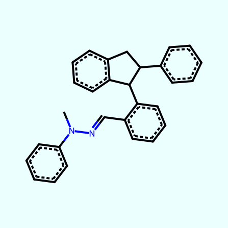 CN(N=Cc1ccccc1C1c2ccccc2CC1c1ccccc1)c1ccccc1